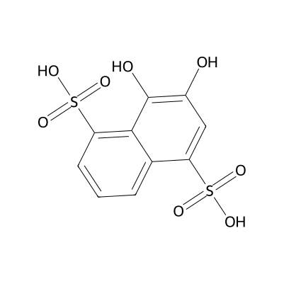 O=S(=O)(O)c1cc(O)c(O)c2c(S(=O)(=O)O)cccc12